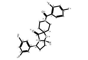 O=C(c1ccc(F)cc1F)N1CCC2(CC1)O[C@@H]1CC[C@@H](c3cc(F)cc(F)c3)N1C2=O